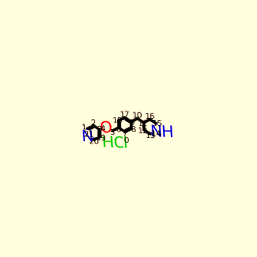 Cl.c1cc(OCc2ccc(CC3CCNCC3)cc2)ccn1